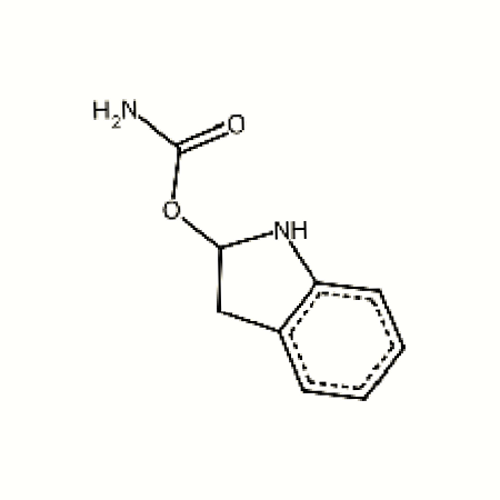 NC(=O)OC1Cc2ccccc2N1